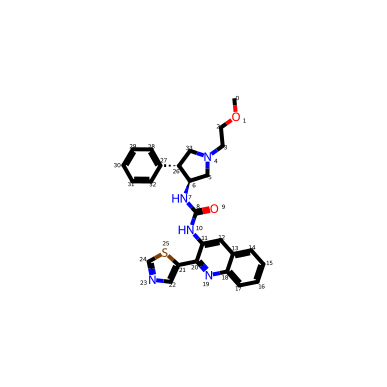 COCCN1C[C@@H](NC(=O)Nc2cc3ccccc3nc2-c2cncs2)[C@H](c2ccccc2)C1